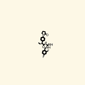 CC[C@H](C(=O)N(C)C(=N)NCc1ccc(F)cc1F)c1ccc(N2CCCC2=O)cc1